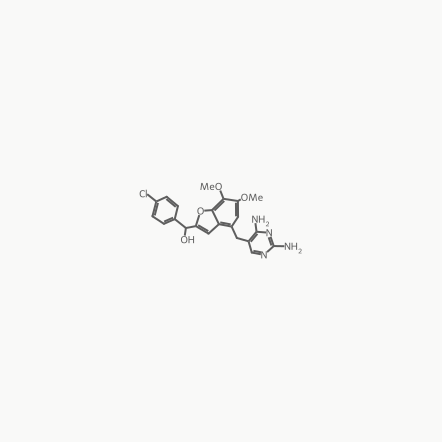 COc1cc(Cc2cnc(N)nc2N)c2cc(C(O)c3ccc(Cl)cc3)oc2c1OC